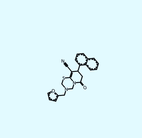 N#CC1=C2SCN(Cc3ccco3)CN2C(=O)CC1c1cccc2ccccc12